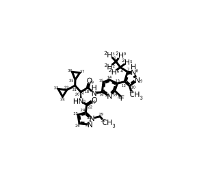 [2H]C([2H])([2H])C([2H])([2H])c1[nH]nc(C)c1-c1ccc(NC(=O)[C@@H](NC(=O)c2ccnn2CC)C(C2CC2)C2CC2)nc1F